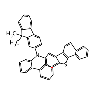 CC1(C)c2ccccc2-c2ccc(N(c3ccc4sc5c6ccccc6ccc5c4c3)c3ccccc3-c3ccccc3)cc21